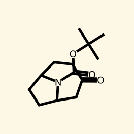 CC(C)(C)OC(=O)N1C2CCC(=O)CC1CC2